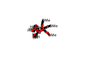 COCCOCCOCCOc1cc(CNC(=O)C(CCCNC(=O)c2cccc(O)c2O)(CCCNC(=O)c2cccc(O)c2O)CCCNC(=O)c2cccc(O)c2O)cc(OCCOCCOCCOC)c1OCCOCCOCCOC